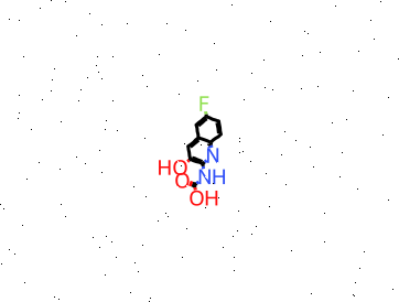 O=C(O)Nc1nc2ccc(F)cc2cc1O